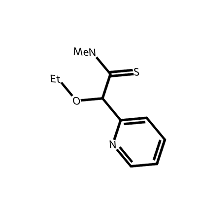 CCOC(C(=S)NC)c1ccccn1